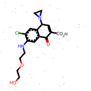 O=C(O)C1=CC(N2CC2)c2cc(Cl)c(NCCOCCO)cc2C1=O